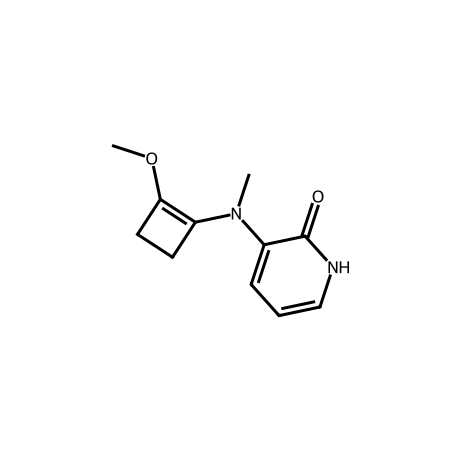 COC1=C(N(C)c2ccc[nH]c2=O)CC1